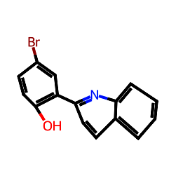 Oc1ccc(Br)cc1-c1ccc2ccccc2n1